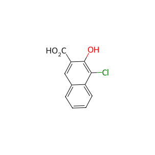 O=C(O)c1cc2ccccc2c(Cl)c1O